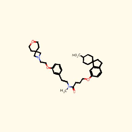 CN(CCc1cccc(OCCN2CC3(CCOCC3)C2)c1)C(=O)CCCOc1ccc2c(c1)C1(CC2)CCC(C(=O)O)CC1